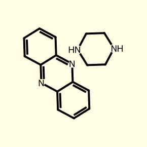 C1CNCCN1.c1ccc2nc3ccccc3nc2c1